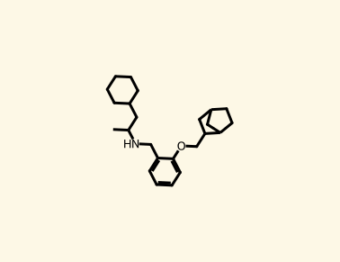 CC(CC1CCCCC1)NCc1ccccc1OCC1CC2CCC1C2